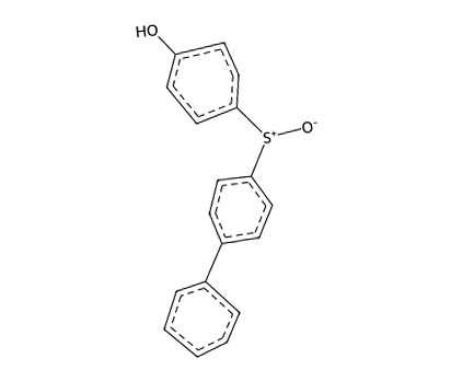 [O-][S+](c1ccc(O)cc1)c1ccc(-c2ccccc2)cc1